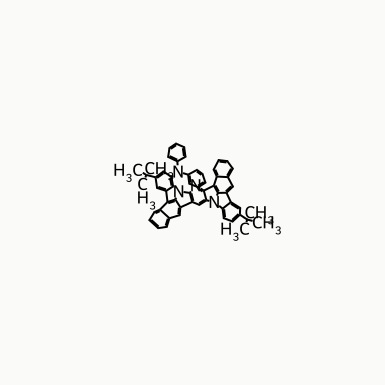 CC(C)(C)c1ccc2c(c1)c1cc3ccccc3c3c4nc5c(cc4n2c13)c1cc2ccccc2c2c3cc(C(C)(C)C)cc(N(c4ccccc4)c4ccccc4)c3n5c12